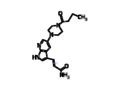 CCCC(=O)N1CCN(c2cnc3[nH]cc(/C=C/C(N)=O)c3c2)CC1